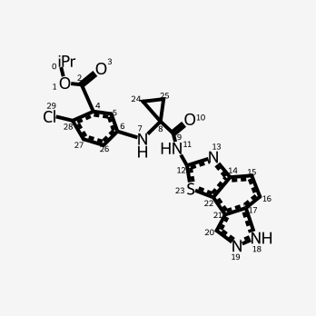 CC(C)OC(=O)c1cc(NC2(C(=O)Nc3nc4ccc5[nH]ncc5c4s3)CC2)ccc1Cl